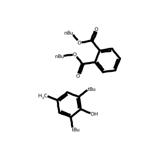 CCCCOC(=O)c1ccccc1C(=O)OCCCC.Cc1cc(C(C)(C)C)c(O)c(C(C)(C)C)c1